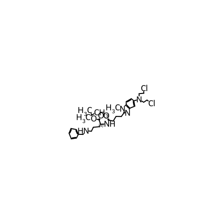 Cn1c(CCCC(=O)N[C@@H](CCCNCc2ccccc2)C(=O)OC(C)(C)C)nc2cc(N(CCCl)CCCl)ccc21